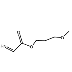 COCCCOC(=O)C=N